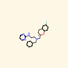 Fc1ccc2c(c1)CC[C@H](CN(CCNc1ncccn1)Cc1ccccc1)O2